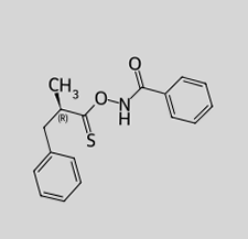 C[C@H](Cc1ccccc1)C(=S)ONC(=O)c1ccccc1